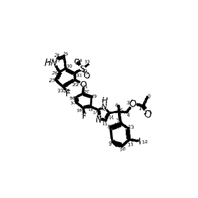 CC(=O)OCC(C)(c1cccc(I)c1)c1cnc(-c2cc(Oc3c(F)cc4[nH]ccc4c3S(C)(=O)=O)ccc2F)[nH]1